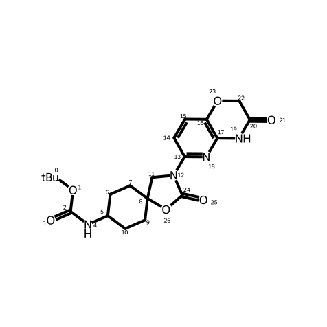 CC(C)(C)OC(=O)NC1CCC2(CC1)CN(c1ccc3c(n1)NC(=O)CO3)C(=O)O2